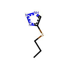 CCCSc1c[nH]nn1